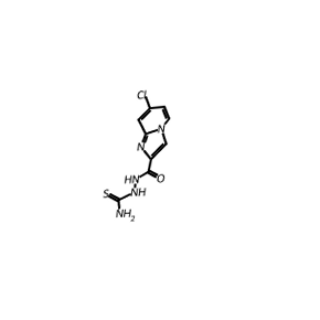 NC(=S)NNC(=O)c1cn2ccc(Cl)cc2n1